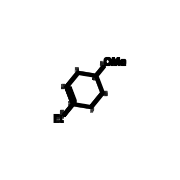 CCC1=CCC(OC)CC1